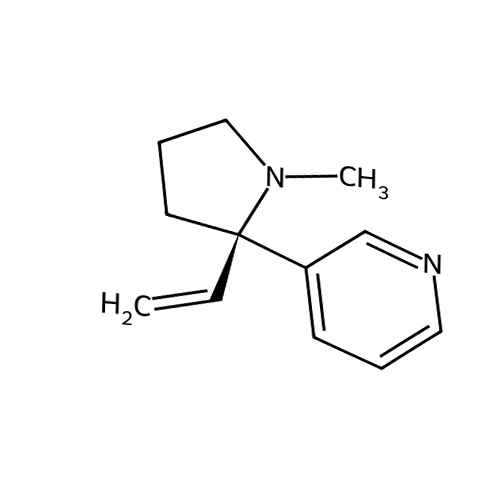 C=C[C@@]1(c2cccnc2)CCCN1C